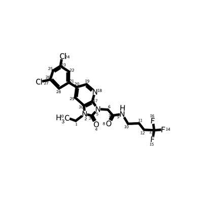 CCn1c(=O)n(CC(=O)NCCCC(F)(F)F)c2ncc(-c3cc(Cl)cc(Cl)c3)cc21